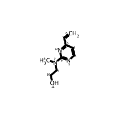 C=Cc1ccnc(N(C)CCO)n1